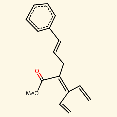 C=CC(C=C)=C(CC=Cc1ccccc1)C(=O)OC